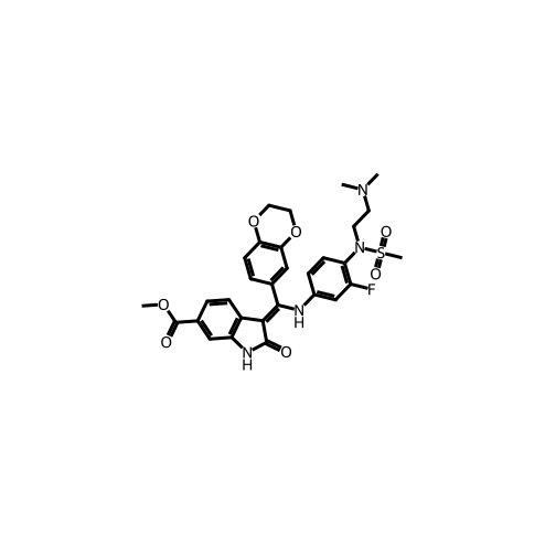 COC(=O)c1ccc2c(c1)NC(=O)/C2=C(\Nc1ccc(N(CCN(C)C)S(C)(=O)=O)c(F)c1)c1ccc2c(c1)OCCO2